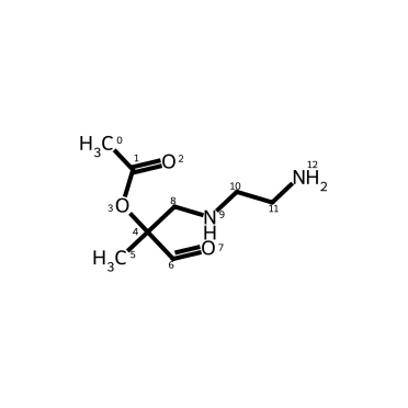 CC(=O)OC(C)(C=O)CNCCN